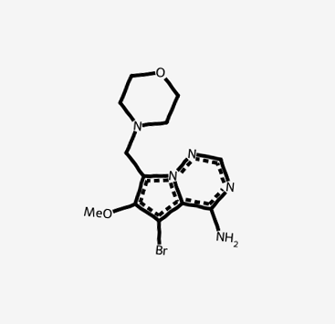 COc1c(Br)c2c(N)ncnn2c1CN1CCOCC1